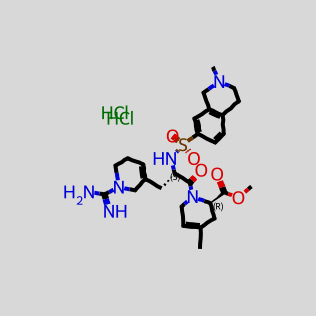 COC(=O)[C@H]1CC(C)=CCN1C(=O)[C@H](CC1=CCCN(C(=N)N)C1)NS(=O)(=O)c1ccc2c(c1)CN(C)CC2.Cl.Cl